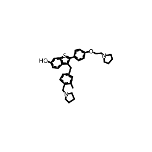 Cc1cc(Cc2c(-c3ccc(OCCN4CCCC4)cc3)sc3cc(O)ccc23)ccc1CN1CCCC1